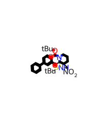 CC(C)(C)OC(=O)N1CCC[C@](C[N+](=O)[O-])(N[S@+]([O-])C(C)(C)C)[C@H]1Cc1cccc(-c2ccccc2)c1